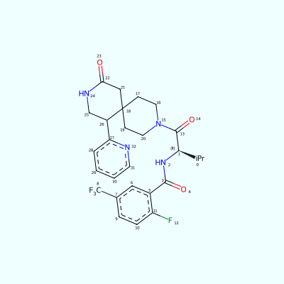 CC(C)[C@@H](NC(=O)c1cc(C(F)(F)F)ccc1F)C(=O)N1CCC2(CC1)CC(=O)NCC2c1ccccn1